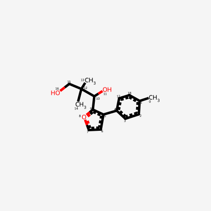 Cc1ccc(-c2ccoc2C(O)C(C)(C)CO)cc1